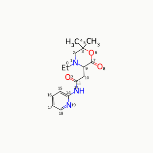 CCN1CC(C)(C)OC(=O)C1CC(=O)Nc1ccccn1